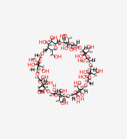 OCC1O[C@@H]2O[C@H]3C(CO)O[C@H](O[C@@H]4C(CO)O[C@H](O[C@@H]5C(CO)O[C@H](O[C@@H]6C(CO)O[C@H](O[C@@H]7C(CO)O[C@H](O[C@@H]8C(CO)OC(O[C@@H]9C(CO)OC(O[C@H]1C(O)C2O)[C@@H](O)C9O)[C@@H](O)C8O)C(O)C7O)C(O)C6O)C(O)C5O)C(O)C4O)C(O)C3O